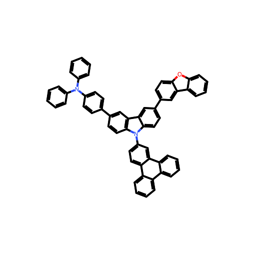 c1ccc(N(c2ccccc2)c2ccc(-c3ccc4c(c3)c3cc(-c5ccc6oc7ccccc7c6c5)ccc3n4-c3ccc4c5ccccc5c5ccccc5c4c3)cc2)cc1